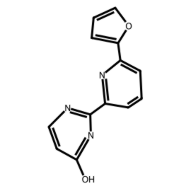 Oc1ccnc(-c2cccc(-c3ccco3)n2)n1